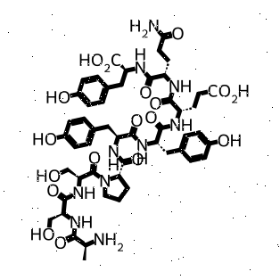 C[C@H](N)C(=O)N[C@@H](CO)C(=O)N[C@@H](CO)C(=O)N1CCC[C@H]1C(=O)N[C@@H](Cc1ccc(O)cc1)C(=O)N[C@@H](Cc1ccc(O)cc1)C(=O)N[C@@H](CCC(=O)O)C(=O)N[C@@H](CCC(N)=O)C(=O)N[C@@H](Cc1ccc(O)cc1)C(=O)O